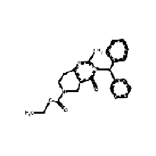 CCOC(=O)N1CCc2nc(C)n(C(c3ccccc3)c3ccccc3)c(=O)c2C1